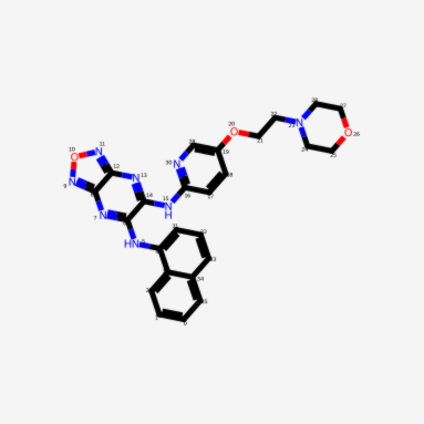 c1ccc2c(Nc3nc4nonc4nc3Nc3ccc(OCCN4CCOCC4)cn3)cccc2c1